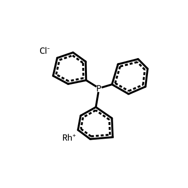 [Cl-].[Rh+].c1ccc(P(c2ccccc2)c2ccccc2)cc1